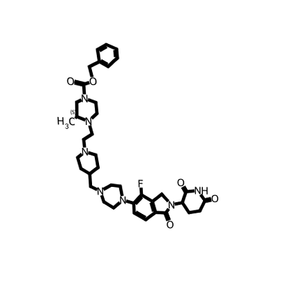 C[C@H]1CN(C(=O)OCc2ccccc2)CCN1CCN1CCC(CN2CCN(c3ccc4c(c3F)CN(C3CCC(=O)NC3=O)C4=O)CC2)CC1